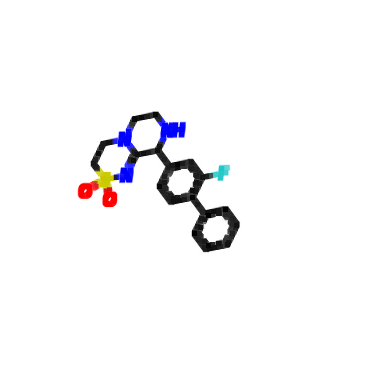 O=S1(=O)CCN2CCNC(c3ccc(-c4ccccc4)c(F)c3)C2=N1